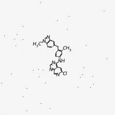 Cc1cc(Nc2ncnc3cnc(Cl)cc23)ccc1Cc1ccc2c(c1)ncn2C